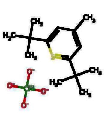 Cc1cc(C(C)(C)C)[s+]c(C(C)(C)C)c1.[O-][Cl+3]([O-])([O-])[O-]